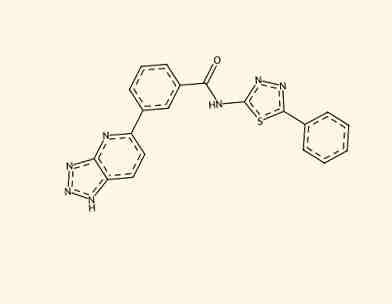 O=C(Nc1nnc(-c2ccccc2)s1)c1cccc(-c2ccc3[nH]nnc3n2)c1